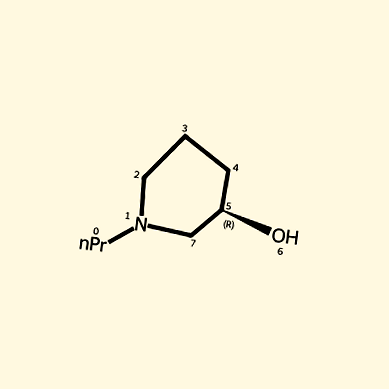 CCCN1CCC[C@@H](O)C1